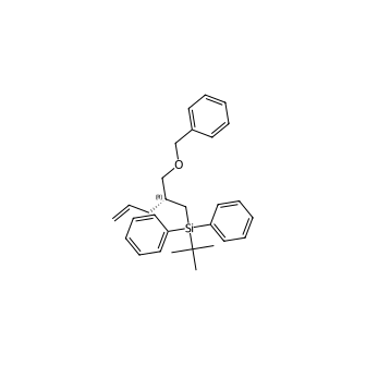 C=CC[C@H](COCc1ccccc1)C[Si](c1ccccc1)(c1ccccc1)C(C)(C)C